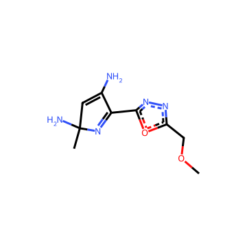 COCc1nnc(C2=NC(C)(N)C=C2N)o1